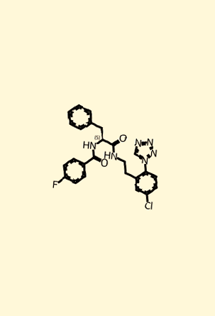 O=C(N[C@@H](Cc1ccccc1)C(=O)NCCc1cc(Cl)ccc1-n1cnnn1)c1ccc(F)cc1